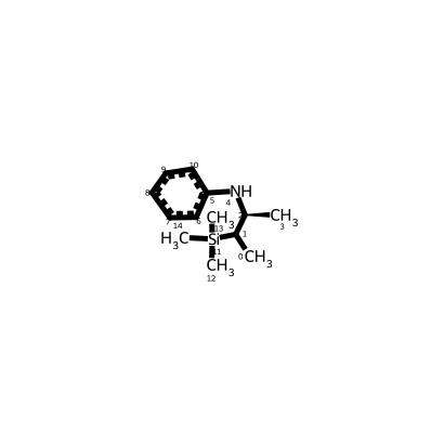 CC([C@H](C)Nc1ccccc1)[Si](C)(C)C